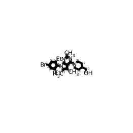 CCc1cc(Br)cc(CC)c1-n1c(C)c(C)c2c(N3CCC(CO)CC3)nc(C)nc21